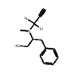 [2H]C([2H])(C#C)N(C)C(CO)Cc1ccccc1